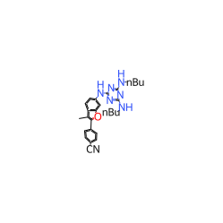 CCCCNc1nc(NCCCC)nc(Nc2ccc3c(C)c(-c4ccc(C#N)cc4)oc3c2)n1